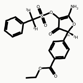 [2H]C([2H])(c1ccccc1)S(=O)(=O)OC1=C(N)O[C@]([2H])(c2ccc(C(=O)OCC)cc2)C1=O